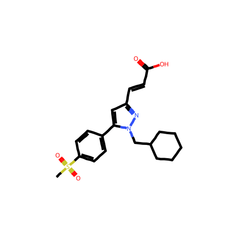 CS(=O)(=O)c1ccc(-c2cc(C=CC(=O)O)nn2CC2CCCCC2)cc1